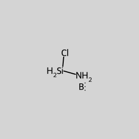 N[SiH2]Cl.[B]